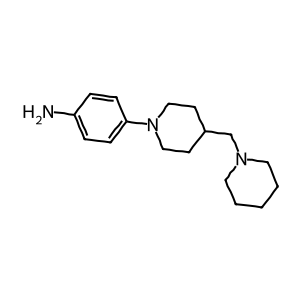 Nc1ccc(N2CCC(CN3CCCCC3)CC2)cc1